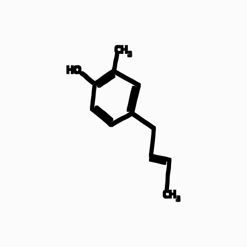 CC=CCc1ccc(O)c(C)c1